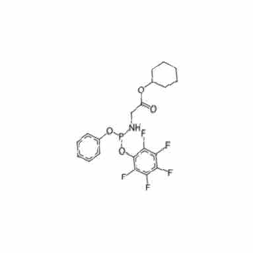 O=C(CNP(Oc1ccccc1)Oc1c(F)c(F)c(F)c(F)c1F)OC1CCCCC1